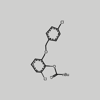 CCCCC(=O)Oc1c(Cl)cccc1OCc1ccc(Cl)cc1